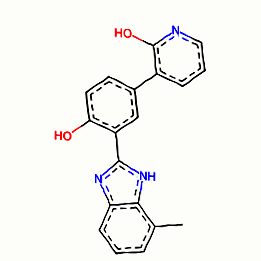 Cc1cccc2nc(-c3cc(-c4cccnc4O)ccc3O)[nH]c12